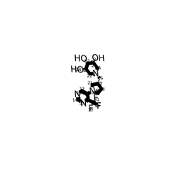 OC1[C@H](O)CN(C[C@@H]2CCN(c3cncnc3C(F)(F)F)C2)C[C@@H]1O